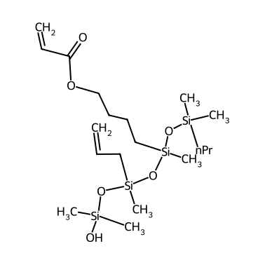 C=CC[Si](C)(O[Si](C)(C)O)O[Si](C)(CCCCOC(=O)C=C)O[Si](C)(C)CCC